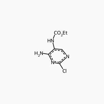 CCOC(=O)Nc1cnc(Cl)nc1N